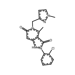 Cc1c2c(=O)n(-c3ccccc3Cl)[nH]c2cc(=O)n1Cc1ccn(C)n1